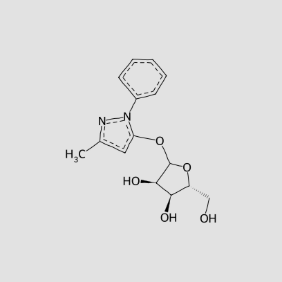 Cc1cc(OC2O[C@H](CO)[C@@H](O)[C@H]2O)n(-c2ccccc2)n1